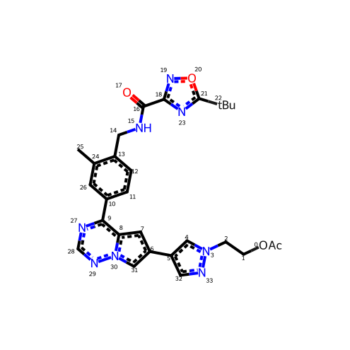 CC(=O)OCCn1cc(-c2cc3c(-c4ccc(CNC(=O)c5noc(C(C)(C)C)n5)c(C)c4)ncnn3c2)cn1